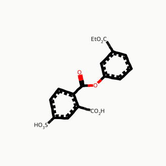 CCOC(=O)c1cccc(OC(=O)c2ccc(S(=O)(=O)O)cc2C(=O)O)c1